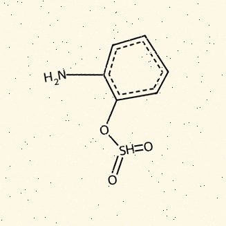 Nc1ccccc1O[SH](=O)=O